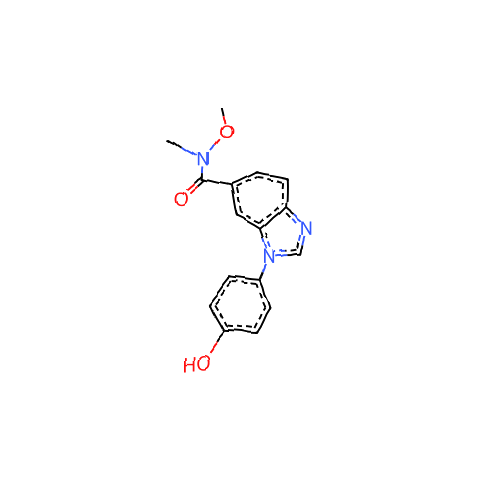 CON(C)C(=O)c1ccc2ncn(-c3ccc(O)cc3)c2c1